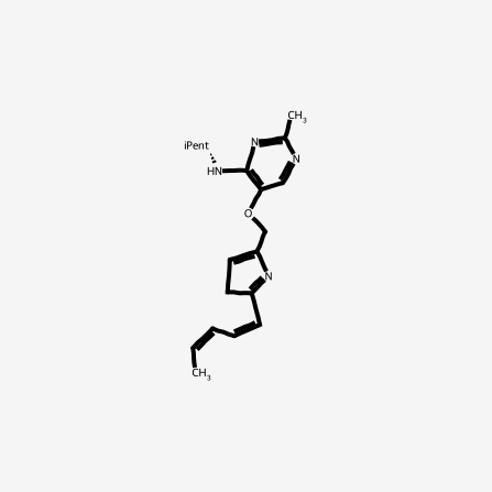 C/C=C\C=C/C1=NC(COc2cnc(C)nc2N[C@@H](C)CCC)=CC1